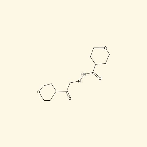 O=C(C[N]NC(=O)C1CCOCC1)C1CCOCC1